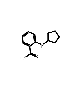 NC(=O)c1ccccc1NC1CCCC1